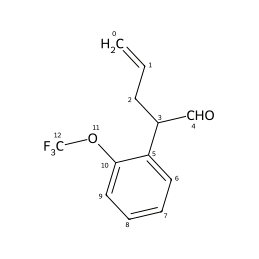 C=CCC(C=O)c1ccccc1OC(F)(F)F